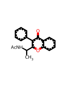 CC(=O)NC(C)c1oc2ccccc2c(=O)c1-c1ccccc1